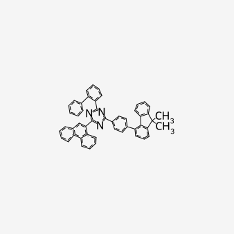 CC1(C)c2ccccc2-c2c(-c3ccc(-c4nc(-c5ccccc5-c5ccccc5)nc(-c5cc6ccccc6c6ccccc56)n4)cc3)cccc21